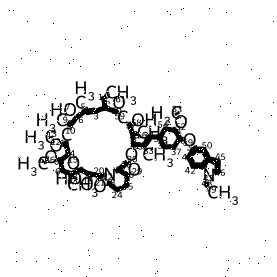 CCC1/C=C(\C)C(O)C(C)CC(OC)C2OC(O)(C(=O)C(=O)N3CCCCC3C(=O)OC(C(C)=CC3CCC(Oc4ccc5c(ccn5CC)c4)C(OC)C3)C(C)C(O)CC1=O)C(C)CC2OC